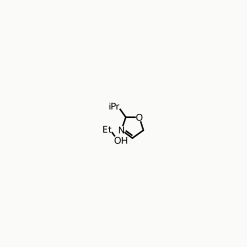 CC(C)C1N=CCO1.CCO